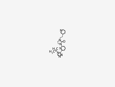 CC(C)n1cnnc1-c1cccc(N2CCN(CCc3cccnc3)C2=O)n1